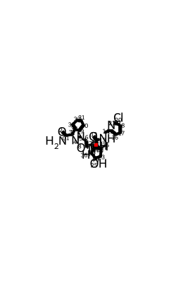 NC(=O)c1nn(CC(=O)N2C(C(=O)NCc3cccc(Cl)n3)[C@@H]3C[C@@H](O)[C@H]2[C@H]3O)c2ccccc12